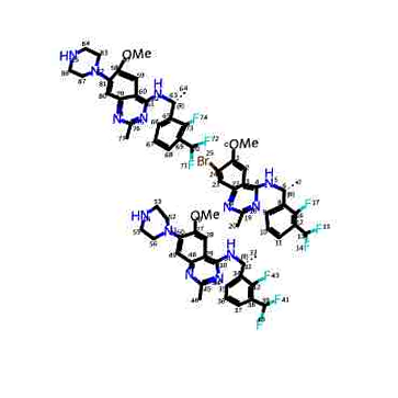 COc1cc2c(N[C@H](C)c3cccc(C(F)F)c3F)nc(C)nc2cc1Br.COc1cc2c(N[C@H](C)c3cccc(C(F)F)c3F)nc(C)nc2cc1N1CCNCC1.COc1cc2c(N[C@H](C)c3cccc(C(F)F)c3F)nc(C)nc2cc1N1CCNCC1